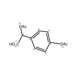 CC(=O)Oc1ccc(C(OC(C)=O)C(=O)O)cc1